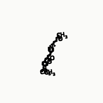 CCN(CC)c1ccc2cc(/C=C/c3cc[n+](CCCCCC(C)=O)cc3)c(=O)oc2c1